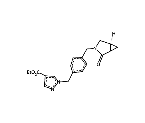 CCOC(=O)c1cnn(Cc2ccc(CN3C[C@H]4CC4C3=O)cc2)c1